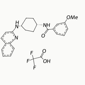 COc1cccc(C(=O)N[C@H]2CC[C@@H](Nc3ccc4ccccc4n3)CC2)c1.O=C(O)C(F)(F)F